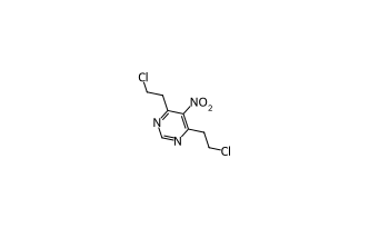 O=[N+]([O-])c1c(CCCl)ncnc1CCCl